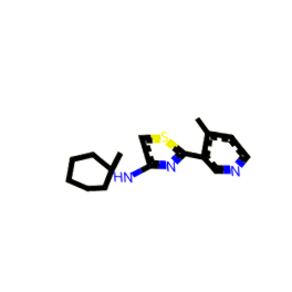 Cc1ccncc1-c1nc(NC2(C)CCCCC2)cs1